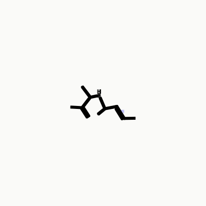 C=C(C)C(C)BC(C)/C=C/C